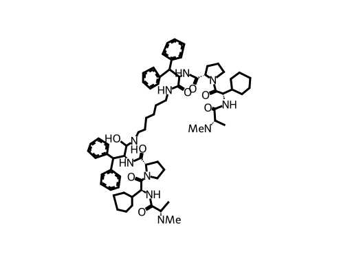 CN[C@@H](C)C(=O)N[C@H](C(=O)N1CCC[C@H]1C(=O)N[C@H](C(O)NCCCCCCNC(=O)[C@@H](NC(=O)[C@@H]1CCCN1C(=O)[C@@H](NC(=O)[C@H](C)NC)C1CCCCC1)C(c1ccccc1)c1ccccc1)C(c1ccccc1)c1ccccc1)C1CCCCC1